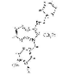 CCOC(=O)c1c(SCc2ccccc2)c2ccccc2n1Cc1ccc(Cl)c(Cl)c1